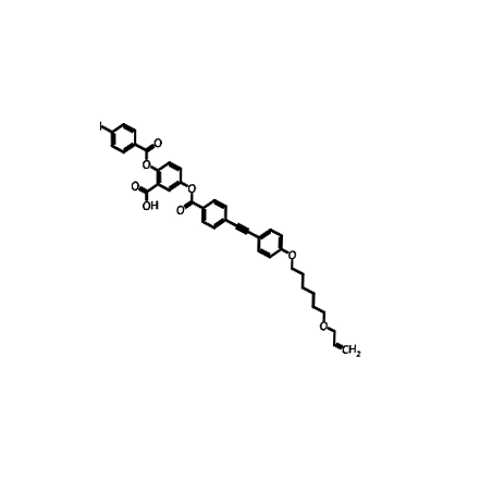 C=CCOCCCCCCOc1ccc(C#Cc2ccc(C(=O)Oc3ccc(OC(=O)c4ccc(I)cc4)c(C(=O)O)c3)cc2)cc1